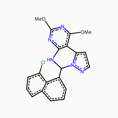 COc1nc2c(c(OC)n1)-c1ccnn1C(c1cccc3cccc(Cl)c13)N2